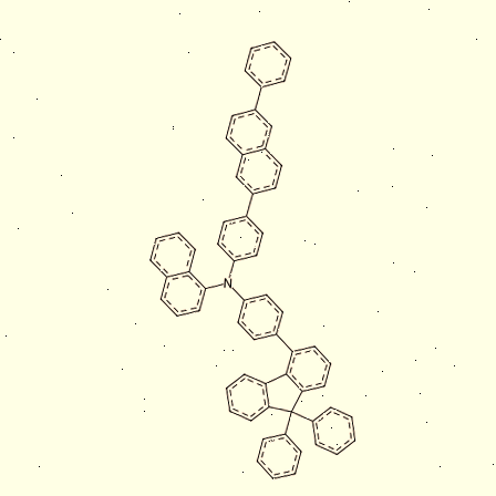 c1ccc(-c2ccc3cc(-c4ccc(N(c5ccc(-c6cccc7c6-c6ccccc6C7(c6ccccc6)c6ccccc6)cc5)c5cccc6ccccc56)cc4)ccc3c2)cc1